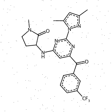 Cc1cc(C)n(-c2nc(NC3CCN(C)C3=O)cc(C(=O)c3cccc(C(F)(F)F)c3)n2)n1